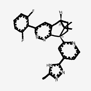 Cc1nnc(-c2ccnc([C@@]34CC[C@@H](c5cc(-c6c(F)cccc6F)nnc53)C4(C)C)c2)[nH]1